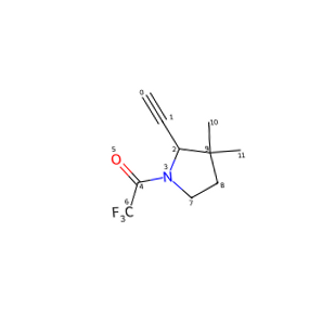 C#CC1N(C(=O)C(F)(F)F)CCC1(C)C